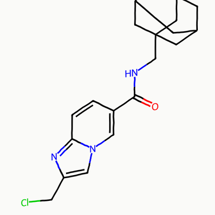 O=C(NCC12CC3CC(CC(C3)C1)C2)c1ccc2nc(CCl)cn2c1